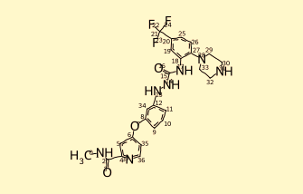 CNC(=O)c1cc(Oc2cccc(NNC(=O)Nc3cc(C(F)(F)F)ccc3N3CCNCC3)c2)ccn1